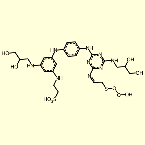 O=S(=O)(O)CCNc1cc(NCC(O)CO)cc(Nc2ccc(Nc3nc(/N=C\CSOOO)nc(NCC(O)CO)n3)cc2)c1